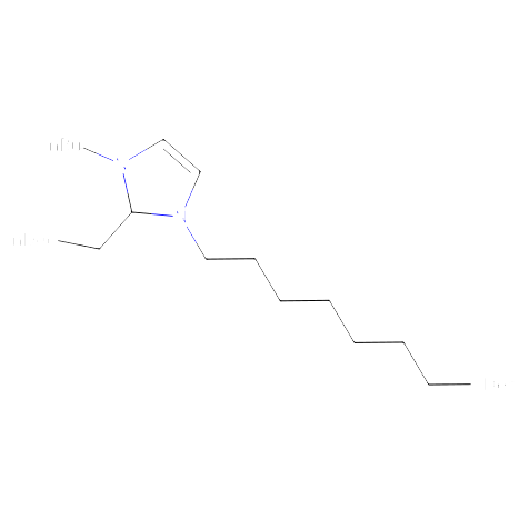 CCCCCCCCCCCCCCCCCN1C=CN(CCCC)C1CCCCCCCCCCC